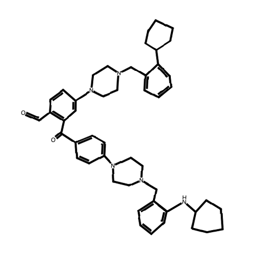 O=[C]c1ccc(N2CCN(Cc3ccccc3C3CCCCC3)CC2)cc1C(=O)c1ccc(N2CCN(Cc3ccccc3NC3CCCCC3)CC2)cc1